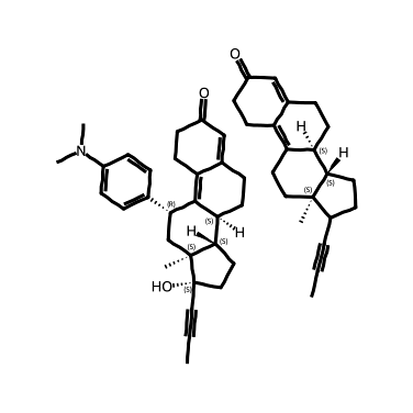 CC#CC1CC[C@H]2[C@@H]3CCC4=CC(=O)CCC4=C3CC[C@]12C.CC#C[C@]1(O)CC[C@H]2[C@@H]3CCC4=CC(=O)CCC4=C3[C@@H](c3ccc(N(C)C)cc3)C[C@@]21C